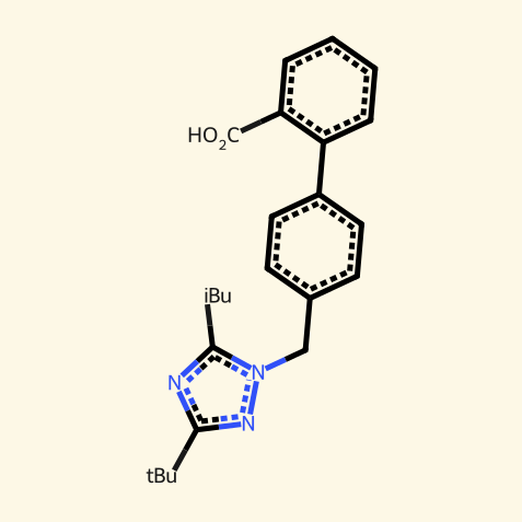 CCC(C)c1nc(C(C)(C)C)nn1Cc1ccc(-c2ccccc2C(=O)O)cc1